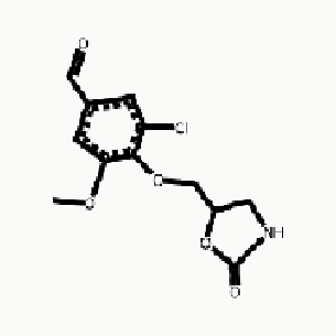 COc1cc(C=O)cc(Cl)c1OCC1CNC(=O)O1